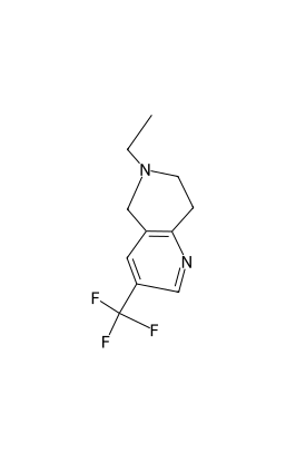 CCN1CCc2ncc(C(F)(F)F)cc2C1